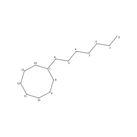 CCCCCCCC1CCCCCCC1